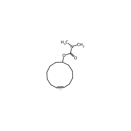 CN(C)C(=O)OC1CCCC/C=C\CCCCC1